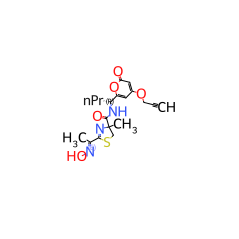 C#CCOc1cc([C@@H](CCC)NC(=O)C2(C)CSC(/C(C)=N/O)=N2)oc(=O)c1